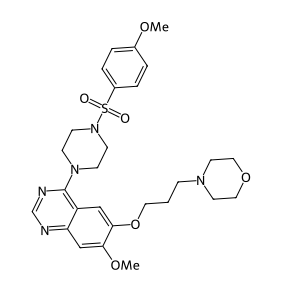 COc1ccc(S(=O)(=O)N2CCN(c3ncnc4cc(OC)c(OCCCN5CCOCC5)cc34)CC2)cc1